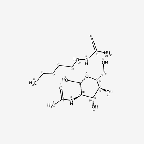 CC(=O)N[C@H]1C(O)O[C@H](CO)[C@@H](O)[C@@H]1O.CCCCCNNC(N)=S